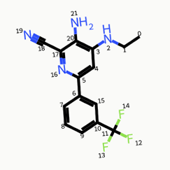 CCNc1cc(-c2cccc(C(F)(F)F)c2)nc(C#N)c1N